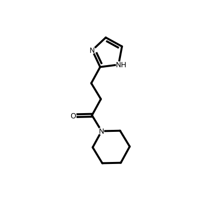 O=C(CCc1ncc[nH]1)N1CCCCC1